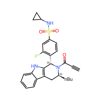 C#CC(=O)N1[C@@H](CCCC)Cc2c([nH]c3ccccc23)[C@@H]1c1ccc(S(=O)(=O)NC2CC2)cc1F